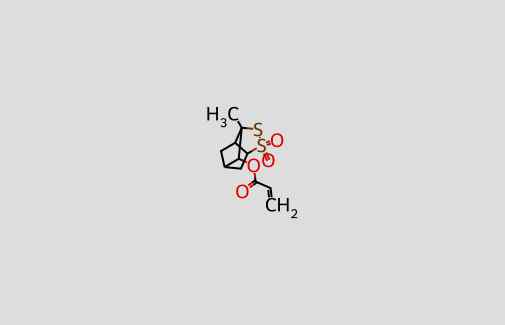 C=CC(=O)OC1C2CC3C(C2)S(=O)(=O)SC31C